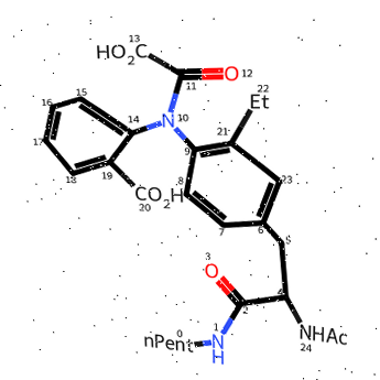 CCCCCNC(=O)C(Cc1ccc(N(C(=O)C(=O)O)c2ccccc2C(=O)O)c(CC)c1)NC(C)=O